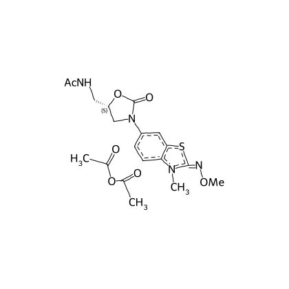 CC(=O)OC(C)=O.CON=c1sc2cc(N3C[C@H](CNC(C)=O)OC3=O)ccc2n1C